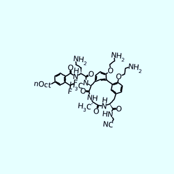 CCCCCCCCc1ccc(C(=O)N[C@@H](CCN)C(=O)N(C)[C@@H]2C(=O)N[C@@H](C)C(=O)N[C@H](C(=O)NCC#N)Cc3ccc(OCCN)c(c3)-c3cc2ccc3OCCN)c(C(F)F)c1